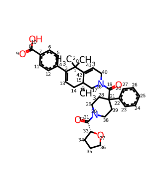 CC1(C)C(c2ccc(C(=O)O)cc2)=CC[C@]2(C)CN(C(=O)C3(c4ccccc4)CCN(C(=O)[C@H]4CCCO4)CC3)CC=C12